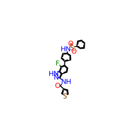 O=C(Nc1n[nH]c2c(F)c(-c3ccc(NS(=O)(=O)c4ccccc4)cc3)ccc12)c1ccsc1